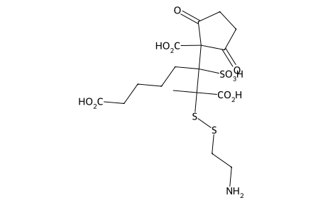 CC(SSCCN)(C(=O)O)C(CCCCC(=O)O)(C1(C(=O)O)C(=O)CCC1=O)S(=O)(=O)O